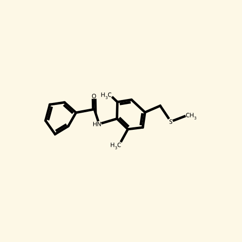 CSCc1cc(C)c(NC(=O)c2ccccc2)c(C)c1